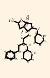 OC1C[C@H]2[C@H](CC(OC3CCCCO3)[C@@H]2CC[C@H](CCc2ccccc2)OC2CCCCO2)O1